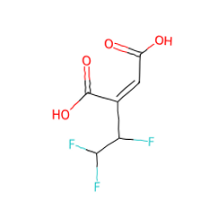 O=C(O)/C=C(\C(=O)O)C(F)C(F)F